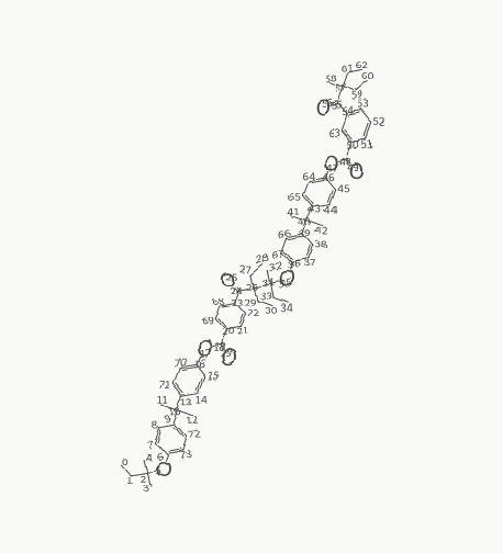 CCC(C)(C)Oc1ccc(C(C)(C)c2ccc(OC(=O)c3ccc(C(=O)C(CC)(CC)C(C)(CC)Oc4ccc(C(C)(C)c5ccc(OC(=O)c6cccc(C(=O)C(C)(CC)CC)c6)cc5)cc4)cc3)cc2)cc1